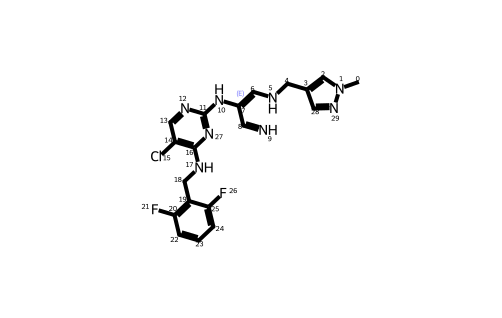 Cn1cc(CN/C=C(\C=N)Nc2ncc(Cl)c(NCc3c(F)cccc3F)n2)cn1